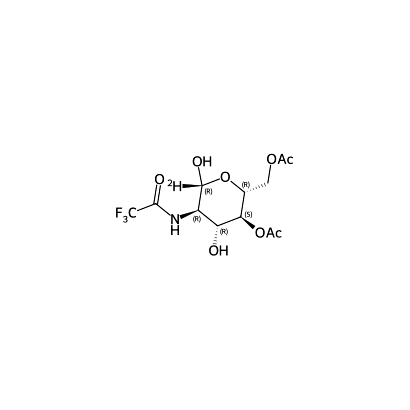 [2H][C@@]1(O)O[C@H](COC(C)=O)[C@@H](OC(C)=O)[C@H](O)[C@H]1NC(=O)C(F)(F)F